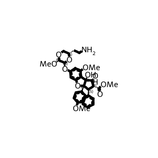 COC(=O)[C@H]1[C@@H](O)[C@@]2(O)c3c(OC)cc(O[C@@H]4O[C@@H](CCN)CO[C@H]4OC)cc3O[C@@]2(c2ccc(OC)cc2)[C@@H]1c1ccccc1